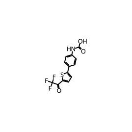 O=C(O)Nc1ccc(-c2ccc(C(=O)C(F)(F)F)s2)cc1